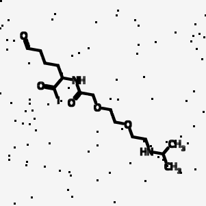 CC(C)NCCOCCOCC(=O)NC(CCCC=O)C(=O)I